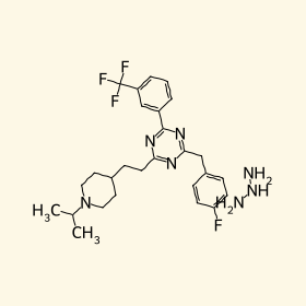 CC(C)N1CCC(CCc2nc(Cc3ccc(F)cc3)nc(-c3cccc(C(F)(F)F)c3)n2)CC1.NNN